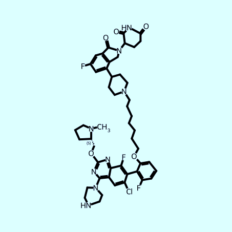 CN1CCC[C@H]1COc1nc(N2CCNCC2)c2cc(Cl)c(-c3c(F)cccc3OCCCCCCCN3CCC(c4cc(F)cc5c4CN(C4CCC(=O)NC4=O)C5=O)CC3)c(F)c2n1